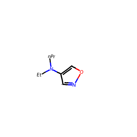 CCCN(CC)c1[c]noc1